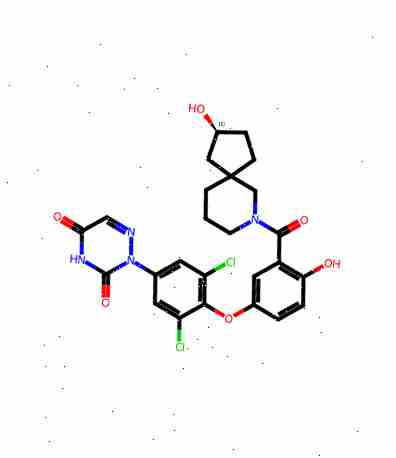 O=C(c1cc(Oc2c(Cl)cc(-n3ncc(=O)[nH]c3=O)cc2Cl)ccc1O)N1CCCC2(CC[C@H](O)C2)C1